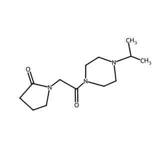 CC(C)N1CCN(C(=O)CN2CCCC2=O)CC1